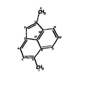 CC1=Cc2ccc(C)c3cccc1c23